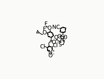 N#Cc1cccc(S(=O)(=O)N2CCS[C@H]2C(=O)O[C@@H](Cc2c(Cl)c[n+]([O-])cc2Cl)c2ccc(OC(F)F)c(OCC3CC3)c2)c1